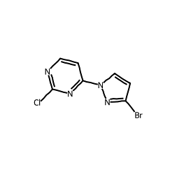 Clc1nccc(-n2ccc(Br)n2)n1